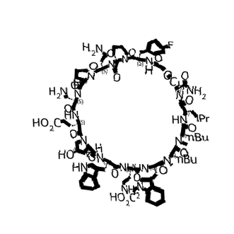 CCCC[C@H]1C(=O)N(C)[C@@H](CCCC)C(=O)N[C@@H](CC(C)C)C(=O)N[C@H](C(N)=O)COCC(=O)N[C@@H](Cc2ccc(F)cc2)C(=O)N2CCCC[C@@]23C(=O)N3[C@@H](CC(N)=O)C(=O)N2CCC[C@H]2C(=O)N[C@@H](CN)C(=O)N[C@@H](CCC(=O)O)C(=O)N2C[C@H](O)C[C@H]2C(=O)N[C@@H](Cc2c[nH]c3ccccc23)C(=O)N[C@@H](CCN)C(=O)N[C@@H](Cc2cn(CC(=O)O)c3ccccc23)C(=O)N1C